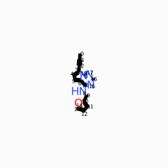 CC#Cc1ccc2c(NCc3ccco3)ncnn12